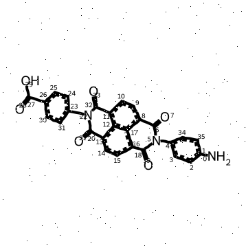 Nc1ccc(N2C(=O)c3ccc4c5c(ccc(c35)C2=O)C(=O)N(c2ccc(C(=O)O)cc2)C4=O)cc1